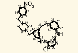 O=[N+]([O-])c1ccc(CN2CCN(Cc3cc4cc(c3)Nc3nc(ncc3Cl)Nc3cccc(c3)CC4)CC2)cc1